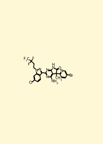 CC1(c2ccc(Br)cn2)C(=O)Nc2nc(-c3nn(CCC(F)(F)C(F)(F)F)c4cc(Cl)ccc34)nc(N)c21